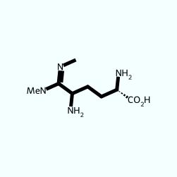 CN=C(NC)C(N)CC[C@H](N)C(=O)O